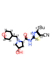 CC(C)(C)c1nc(NC(=O)[C@@H]2C[C@@H](O)CN2CC2CCOCC2)sc1C#N